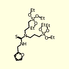 CCO[Si](CCCN(CCC[Si](OCC)(OCC)OCC)C(=S)NCc1ccco1)(OCC)OCC